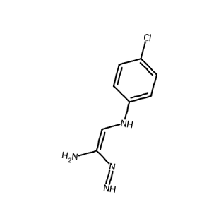 N=N/C(N)=C\Nc1ccc(Cl)cc1